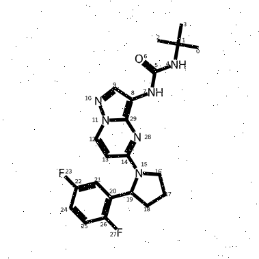 CC(C)(C)NC(=O)Nc1cnn2ccc(N3CCCC3c3cc(F)ccc3F)nc12